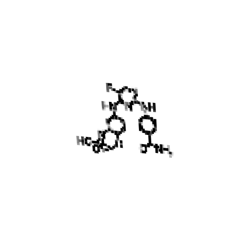 NC(=O)c1ccc(Nc2ncc(F)c(Nc3ccc4c(c3)N3C(=O)C(CC3O)O4)n2)cc1